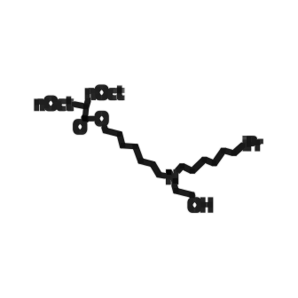 CCCCCCCCC(CCCCCCCC)C(=O)OCCCCCCCN(CCO)CCCCCCC(C)C